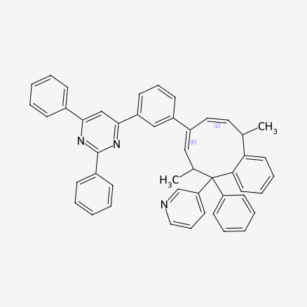 CC1/C=C\C(c2cccc(-c3cc(-c4ccccc4)nc(-c4ccccc4)n3)c2)=C/C(C)C(c2ccccc2)(c2cccnc2)c2ccccc21